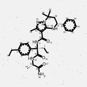 CCc1ccc([C@@](CC)(NC(=O)c2c(C)nn3c2N[C@@H](c2ccccc2)CC3(C)C)C(=O)N[C@@H](C)C(N)=O)cc1